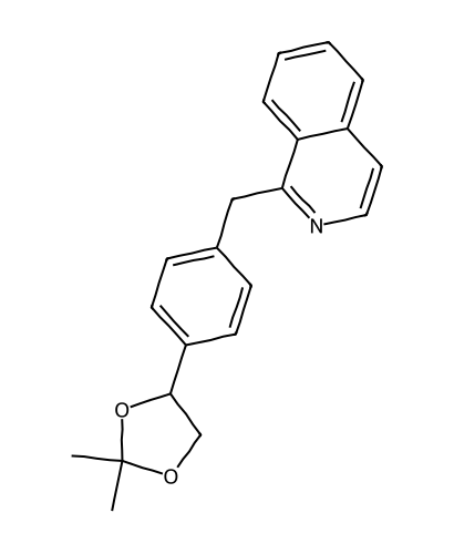 CC1(C)OCC(c2ccc(Cc3nccc4ccccc34)cc2)O1